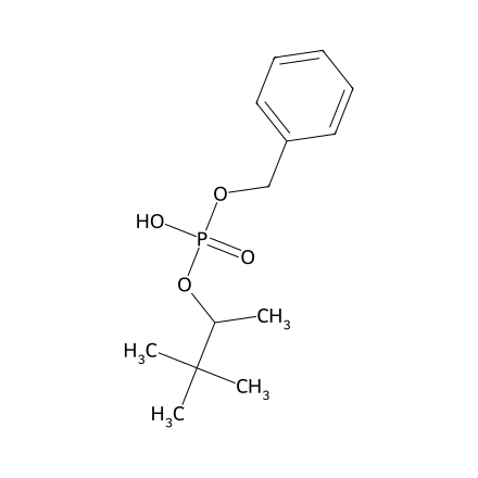 CC(OP(=O)(O)OCc1ccccc1)C(C)(C)C